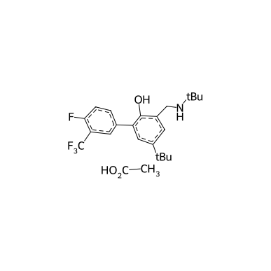 CC(=O)O.CC(C)(C)NCc1cc(C(C)(C)C)cc(-c2ccc(F)c(C(F)(F)F)c2)c1O